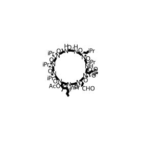 C/C=C/C[C@@H](C)[C@@H](OC(C)=O)[C@H]1C(=O)N[C@@H](CCC)C(=O)N(C)[C@H](CCC=O)C(=O)N(C)C([C@H](C)CS(C)(=O)=O)C(=O)N[C@@H](C(C)C)C(=O)N(C)[C@@H](CCC(C)C)C(=O)N[C@@H](C)C(=O)N[C@H](C)C(=O)N(C)[C@@H](CC(C)C)C(=O)N(C)[C@@H](CC(C)C)C(=O)N(C)[C@@H](C(C)C)C(=O)N1C